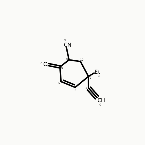 C#CC1(CC)C=CC(=O)C(C#N)C1